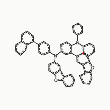 c1ccc(N(c2ccccc2)c2ccc(N(c3ccc(-c4cccc5ccccc45)cc3)c3ccc4oc5ccccc5c4c3)cc2-c2ccc3oc4ccccc4c3c2)cc1